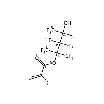 C=C(C)C(=O)OC(C(F)(F)F)(C(F)(F)F)C(F)(F)C(C)(O)C(F)(F)F